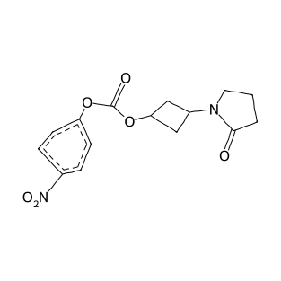 O=C(Oc1ccc([N+](=O)[O-])cc1)OC1CC(N2CCCC2=O)C1